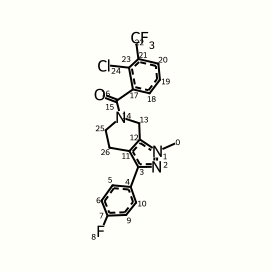 Cn1nc(-c2ccc(F)cc2)c2c1CN(C(=O)c1cccc(C(F)(F)F)c1Cl)CC2